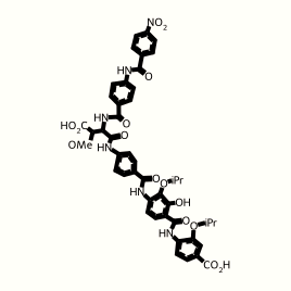 COC(C(=O)O)C(NC(=O)c1ccc(NC(=O)c2ccc([N+](=O)[O-])cc2)cc1)C(=O)Nc1ccc(C(=O)Nc2ccc(C(=O)Nc3ccc(C(=O)O)cc3OC(C)C)c(O)c2OC(C)C)cc1